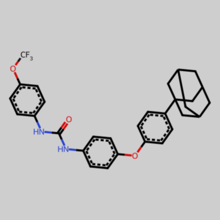 O=C(Nc1ccc(Oc2ccc(C34CC5CC(CC(C5)C3)C4)cc2)cc1)Nc1ccc(OC(F)(F)F)cc1